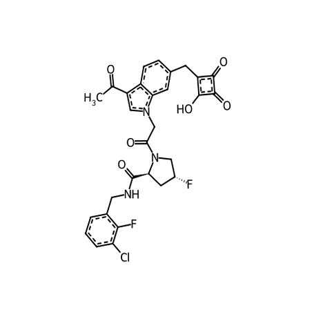 CC(=O)c1cn(CC(=O)N2C[C@H](F)C[C@H]2C(=O)NCc2cccc(Cl)c2F)c2cc(Cc3c(O)c(=O)c3=O)ccc12